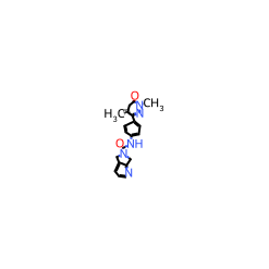 C[C@@H]1CC(=O)N(C)N=C1c1ccc(NC(=O)N2Cc3cccnc3C2)cc1